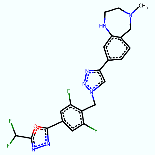 CN1CCNc2cc(-c3cn(Cc4c(F)cc(-c5nnc(C(F)F)o5)cc4F)nn3)ccc2C1